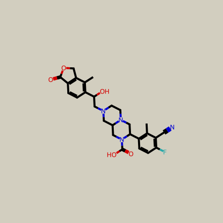 Cc1c(C2CN3CCN(CC(O)c4ccc5c(c4C)COC5=O)CC3CN2C(=O)O)ccc(F)c1C#N